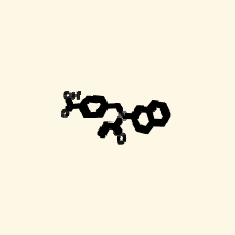 C=CC(=O)N(Cc1ccc(C(=O)O)cc1)c1ccc2ccccc2c1